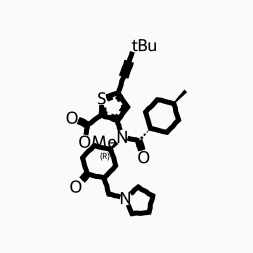 COC(=O)c1sc(C#CC(C)(C)C)cc1N(C(=O)[C@H]1CC[C@H](C)CC1)[C@@H]1CCC(=O)C(CN2CCCC2)C1